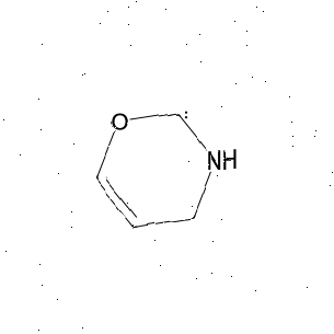 [C]1NCC=CO1